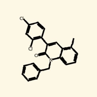 Cc1cccc2c1cc(-c1ccc(Cl)cc1Cl)c(=O)n2Cc1ccccc1